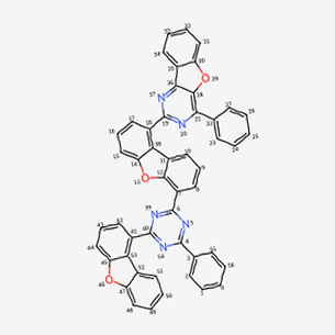 c1ccc(-c2nc(-c3cccc4c3oc3cccc(-c5nc(-c6ccccc6)c6oc7ccccc7c6n5)c34)nc(-c3cccc4oc5ccccc5c34)n2)cc1